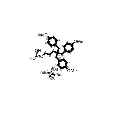 CCCC[N+](CCCC)(CCCC)CCCC.COc1ccc(CC(CCCOB(O)O)(Cc2ccc(OC)cc2)Cc2ccc(OC)cc2)cc1